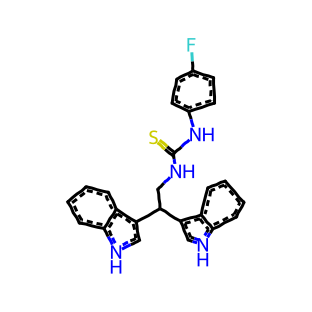 Fc1ccc(NC(=S)NCC(c2c[nH]c3ccccc23)c2c[nH]c3ccccc23)cc1